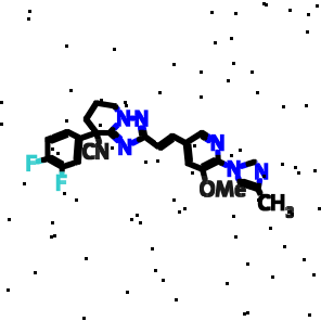 COc1cc(/C=C/c2nc3n(n2)CCCC3(C#N)c2ccc(F)c(F)c2)cnc1-n1cnc(C)c1